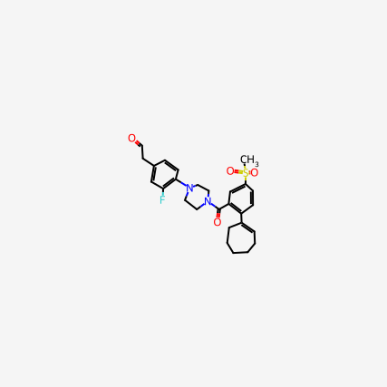 CS(=O)(=O)c1ccc(C2=CCCCCC2)c(C(=O)N2CCN(c3ccc(CC=O)cc3F)CC2)c1